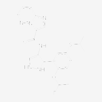 CC(C)Sc1ccc(OC(F)F)c(C2NNC=C2NC(=O)c2cnc3cccnn23)c1